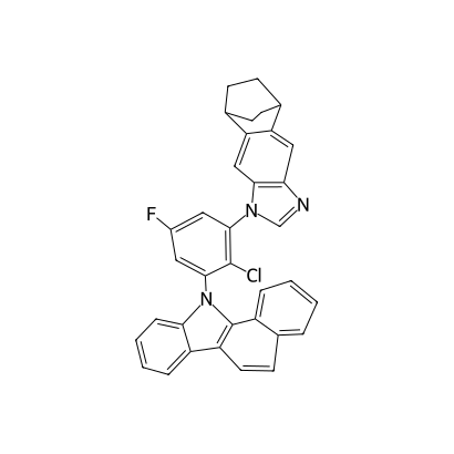 Fc1cc(-n2cnc3cc4c(cc32)C2CCC4CC2)c(Cl)c(-n2c3ccccc3c3ccc4ccccc4c32)c1